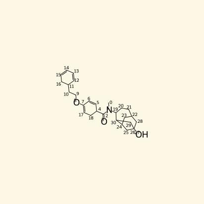 CN(C(=O)C1C=CC(OCCC2C=CC=CC2)=CC1)C1CCC2CC3CC(O)(C2)CC31